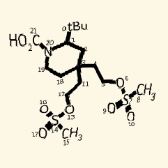 CC(C)(C)C1CC(CCOS(C)(=O)=O)(CCOS(C)(=O)=O)CCN1C(=O)O